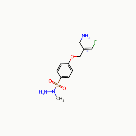 CN(N)S(=O)(=O)c1ccc(OC/C(=C/F)CN)cc1